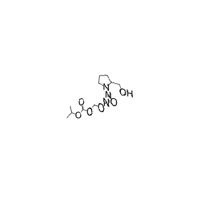 CC(C)OC(=O)OCOn1on1N1CCCC1CO